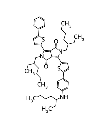 CCCCC(CC)CN1C(=O)C2=C(c3ccc(-c4ccc(NC(CC)CCCC)cc4)s3)N(CC(CC)CCCC)C(=O)C2=C1c1ccc(-c2ccccc2)s1